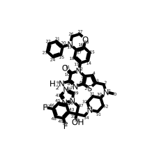 CN(Cc1cc2c(nc(N)c(=O)n2-c2ccc3c(c2)N(c2ccccc2)CCO3)s1)C1CCN(CC(O)(Cn2cncn2)c2ccc(F)cc2F)CC1